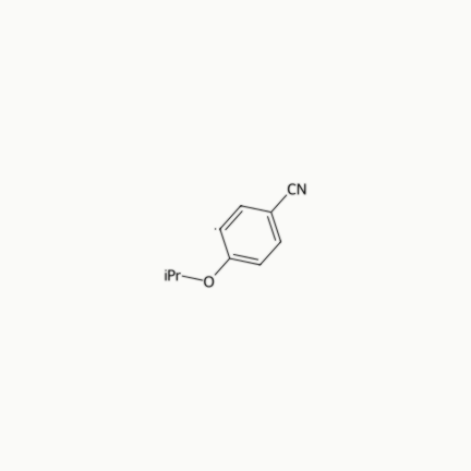 CC(C)Oc1[c]cc(C#N)cc1